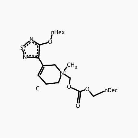 CCCCCCCCCCCOC(=O)OC[N+]1(C)CCC=C(c2nsnc2OCCCCCC)C1.[Cl-]